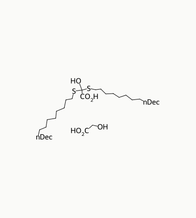 CCCCCCCCCCCCCCCCCCSC(O)(SCCCCCCCCCCCCCCCCCC)C(=O)O.O=C(O)CO